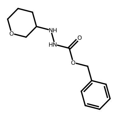 O=C(NNC1CCCOC1)OCc1ccccc1